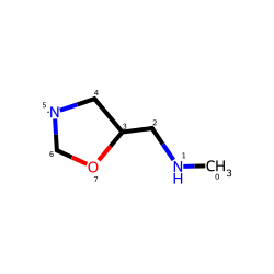 CNCC1C[N]CO1